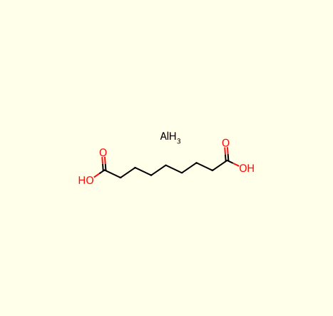 O=C(O)CCCCCCCC(=O)O.[AlH3]